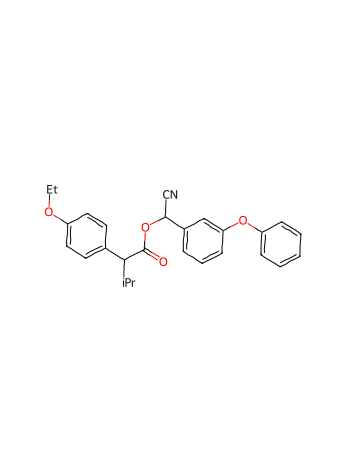 CCOc1ccc(C(C(=O)OC(C#N)c2cccc(Oc3ccccc3)c2)C(C)C)cc1